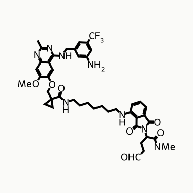 CNC(=O)C(CCC=O)N1C(=O)c2cccc(NCCCCCCCNC(=O)C3(COc4cc5c(NCc6cc(N)cc(C(F)(F)F)c6)nc(C)nc5cc4OC)CC3)c2C1=O